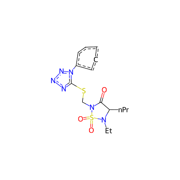 CCCC1C(=O)N(CSc2nnnn2-c2ccccc2)S(=O)(=O)N1CC